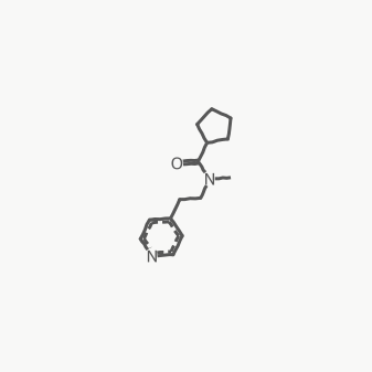 CN(CCc1ccncc1)C(=O)C1CCCC1